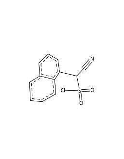 N#CC(c1cccc2ccccc12)S(=O)(=O)Cl